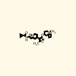 Cc1onc(O[C@@H]2CCN(C)C3(CCC3)C2)c1-c1ccn2nc(NC(=O)C3CC3)cc2c1